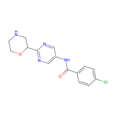 O=C(Nc1cnc(C2CNCCO2)nc1)c1ccc(Cl)cc1